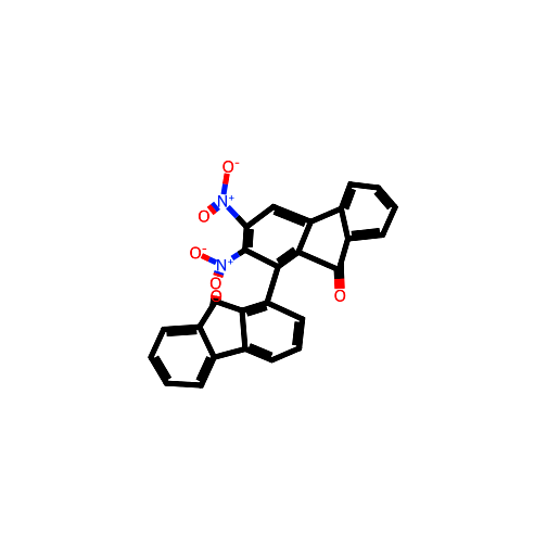 O=C1c2ccccc2-c2cccc(-c3c4c(cc([N+](=O)[O-])c3[N+](=O)[O-])-c3ccccc3C4=O)c21